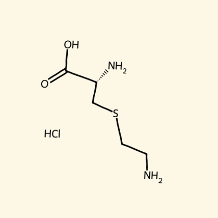 Cl.NCCSC[C@@H](N)C(=O)O